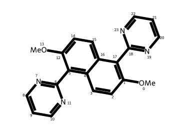 COc1ccc2c(-c3ncccn3)c(OC)ccc2c1-c1ncccn1